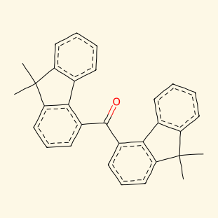 CC1(C)c2ccccc2-c2c(C(=O)c3cccc4c3-c3ccccc3C4(C)C)cccc21